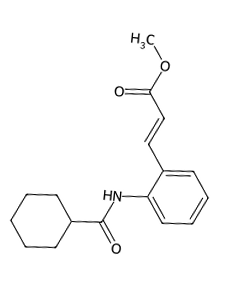 COC(=O)/C=C/c1ccccc1NC(=O)C1CCCCC1